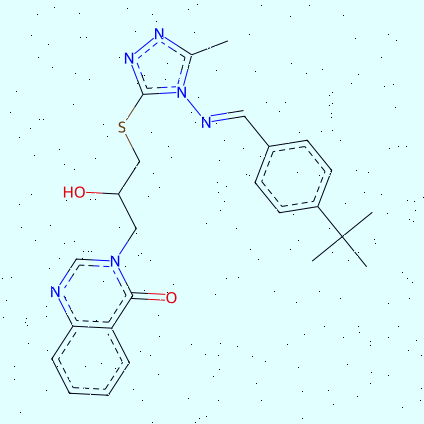 Cc1nnc(SCC(O)Cn2cnc3ccccc3c2=O)n1N=Cc1ccc(C(C)(C)C)cc1